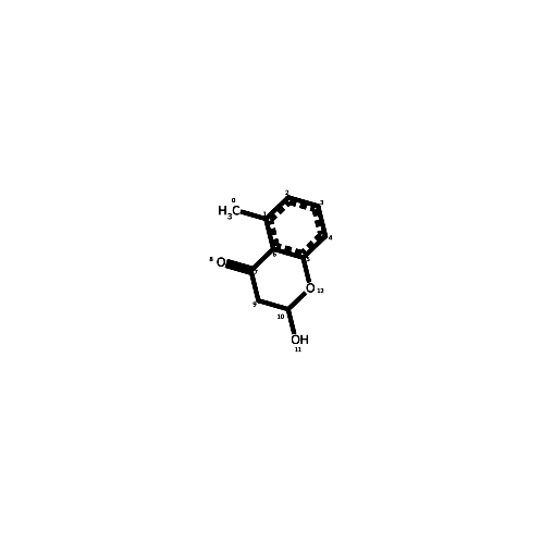 Cc1cccc2c1C(=O)CC(O)O2